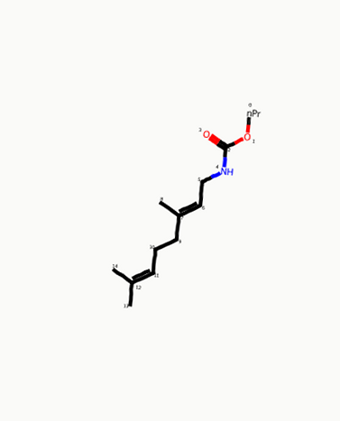 CCCOC(=O)NC/C=C(\C)CCC=C(C)C